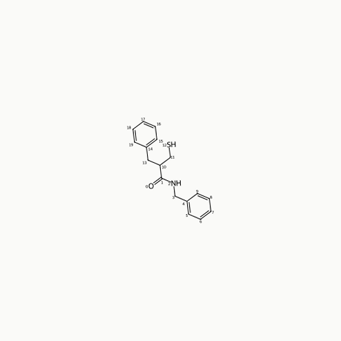 O=C(NCc1ccccc1)C(CS)Cc1ccccc1